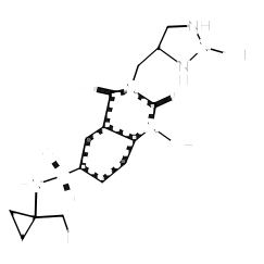 CN1NCC(Cn2c(=O)c3cc(S(=O)(=O)NC4(CF)CC4)ccc3n(C)c2=O)N1